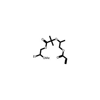 C=CC(=O)OCC(C)OC(C)(C)C(=O)OCC(CC)OC